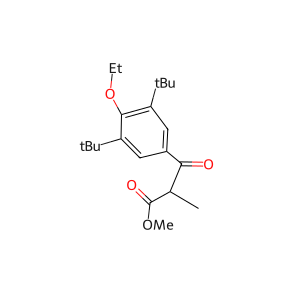 CCOc1c(C(C)(C)C)cc(C(=O)C(C)C(=O)OC)cc1C(C)(C)C